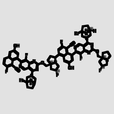 C#Cc1c(F)ccc2cc(O)cc(-c3ncc4c(N5CC6CCC(CC)(C5)N6)nc(OC[C@@]56CCC(c7cc(F)c(C#C)c8c(-c9ncc%10c(N%11C[C@H]%12CCC(CC)(C%11)N%12)nc(OC[C@@]%11%12CCCN%11C[C@H](F)C%12)nc%10c9F)cc(O)cc78)N5C[C@H](F)C6)nc4c3F)c12